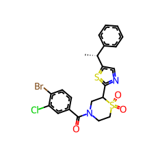 C[C@H](c1ccccc1)c1cnc(C2CN(C(=O)c3ccc(Br)c(Cl)c3)CCS2(=O)=O)s1